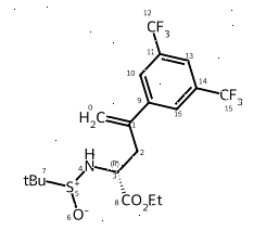 C=C(C[C@@H](N[S+]([O-])C(C)(C)C)C(=O)OCC)c1cc(C(F)(F)F)cc(C(F)(F)F)c1